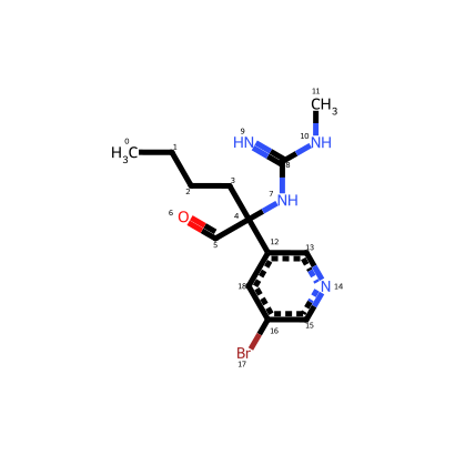 CCCCC(C=O)(NC(=N)NC)c1cncc(Br)c1